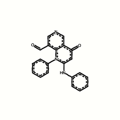 O=Cc1cncc2c(=O)cc(Nc3ccccc3)n(-c3ccccc3)c12